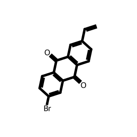 C=Cc1ccc2c(c1)C(=O)c1ccc(Br)cc1C2=O